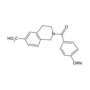 COc1ccc(C(=O)N2CCc3cc(C(=O)O)ccc3C2)cc1